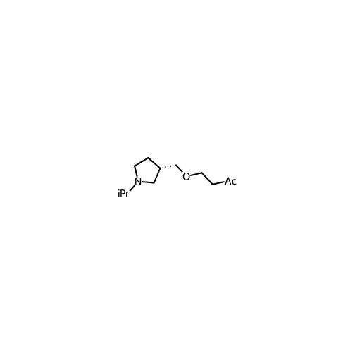 CC(=O)CCOC[C@H]1CCN(C(C)C)C1